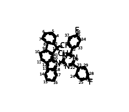 CC1(C)c2ccccc2-c2ccc3c4ccccc4n(-c4nc(-c5ccc(F)cc5)nc(-c5ccc(F)cc5)n4)c3c21